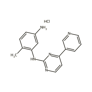 Cc1ccc(N)cc1Nc1nccc(-c2cccnc2)n1.Cl